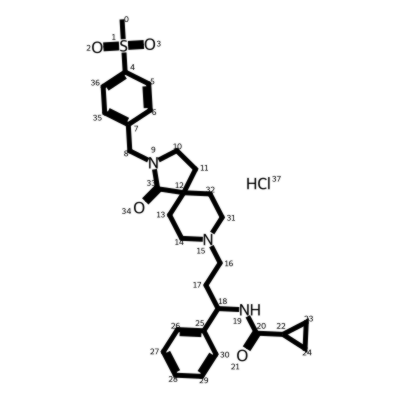 CS(=O)(=O)c1ccc(CN2CCC3(CCN(CCC(NC(=O)C4CC4)c4ccccc4)CC3)C2=O)cc1.Cl